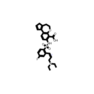 CCN(CC)C/C=C\c1cc(F)ccc1S(=O)(=O)Nc1ccc2c(c1C(=O)O)OCCC1=C2C=CC1